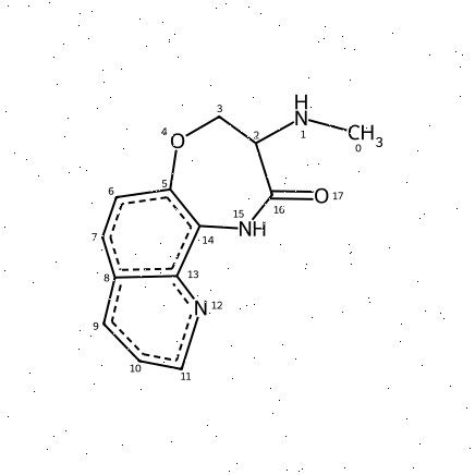 CNC1COc2ccc3cccnc3c2NC1=O